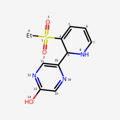 CCS(=O)(=O)C1=CC=CNC1c1cnc(O)cn1